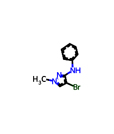 Cn1cc(Br)c(Nc2ccccc2)n1